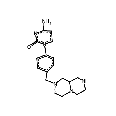 Nc1ccn(-c2ccc(CN3CCN4CCNCC4C3)cc2)c(=O)n1